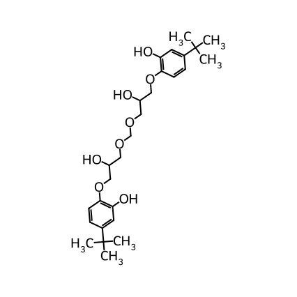 CC(C)(C)c1ccc(OCC(O)COCOCC(O)COc2ccc(C(C)(C)C)cc2O)c(O)c1